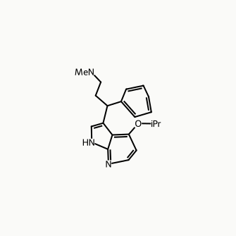 CNCCC(c1ccccc1)c1c[nH]c2nccc(OC(C)C)c12